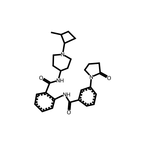 CC1CCC1N1CCC(NC(=O)c2ccccc2NC(=O)c2cccc(N3CCCC3=O)c2)CC1